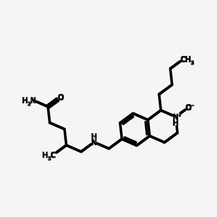 CCCCC1c2ccc(CNCC(C)CCC(N)=O)cc2CC[NH+]1[O-]